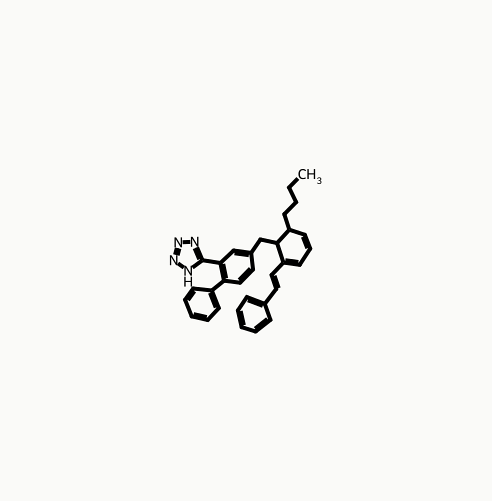 CCCCC1C=CC=C(C=Cc2ccccc2)C1Cc1ccc(-c2ccccc2)c(-c2nnn[nH]2)c1